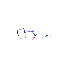 O=CCCC(=O)NN1CCCCC1